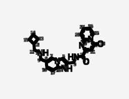 O=C(NCC1=CN2C=C(CNCC3CCC3)C=CC2N1)c1cc(=O)n2ccccc2n1